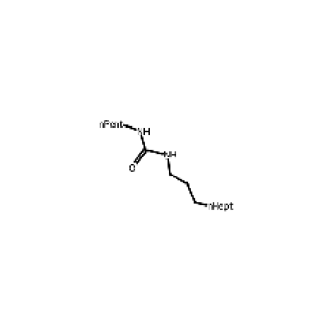 CCCCCCCCCCNC(=O)NCCCCC